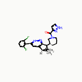 CC1(C)[C@H]2CC[C@]1([C@H]1CCCN(C(=O)c3cc[nH]n3)C1)c1nnc(-c3c(F)cccc3F)cc12